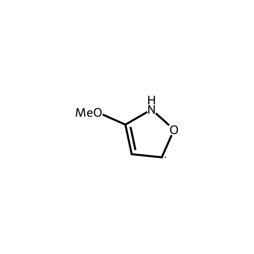 COC1=C[CH]ON1